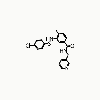 Cc1ccc(C(=O)NCc2cccnc2)cc1NSc1ccc(Cl)cc1